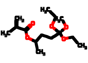 C=C(C)C(=O)OC(C)CC[Si](OC)(OCC)OCC